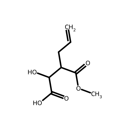 C=CCC(C(=O)OC)C(O)C(=O)O